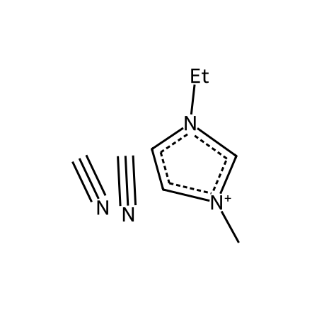 C#N.C#N.CCn1cc[n+](C)c1